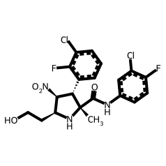 C[C@@]1(C(=O)Nc2ccc(F)c(Cl)c2)N[C@@H](CCO)[C@@H]([N+](=O)[O-])[C@@H]1c1cccc(Cl)c1F